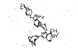 C=C1NC=Cc2cc(-c3cncnc3)nc(Nc3ccc4c(CN5CCN(CC)CC5)n[nH]c4c3)c21